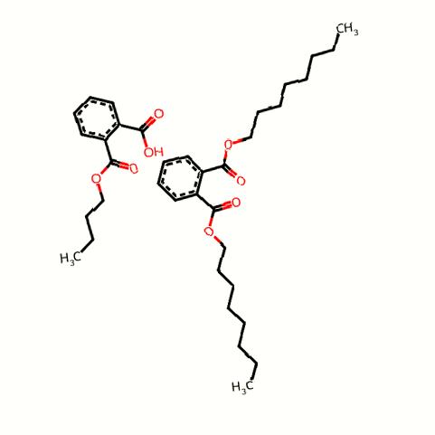 CCCCCCCCOC(=O)c1ccccc1C(=O)OCCCCCCCC.CCCCOC(=O)c1ccccc1C(=O)O